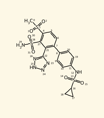 CS(=O)(=O)c1ccc(-c2ccc(NS(=O)(=O)C3CC3)cc2)c(-c2nn[nH]n2)c1S(N)(=O)=O